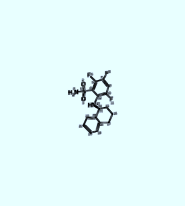 NS(=O)(=O)c1c(F)c(F)cc(F)c1N[C@H]1CCCc2ccccc21